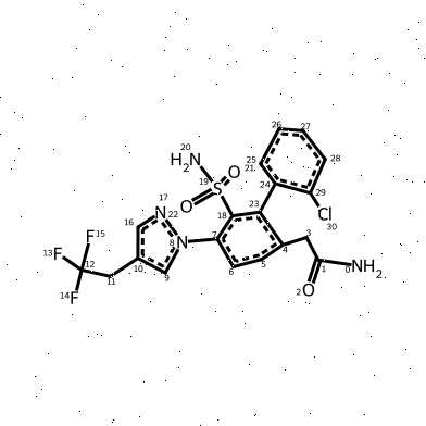 NC(=O)Cc1ccc(-n2cc(CC(F)(F)F)cn2)c(S(N)(=O)=O)c1-c1ccccc1Cl